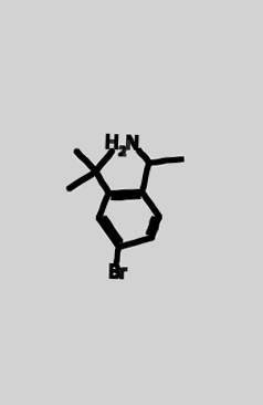 CC(N)c1ccc(Br)cc1C(C)(C)C